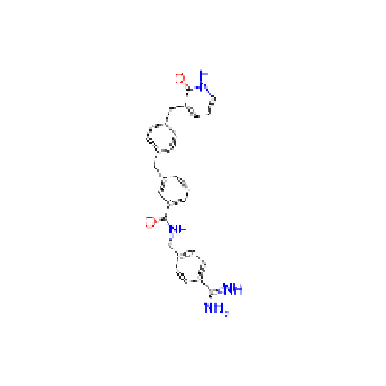 N=C(N)c1ccc(CNC(=O)c2cccc(Cc3ccc(Cc4ccc[nH]c4=O)cc3)c2)cc1